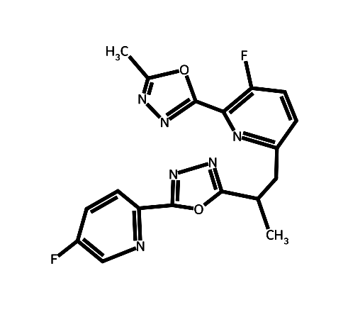 Cc1nnc(-c2nc(CC(C)c3nnc(-c4ccc(F)cn4)o3)ccc2F)o1